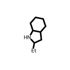 CCC1CC2CCCCC2N1